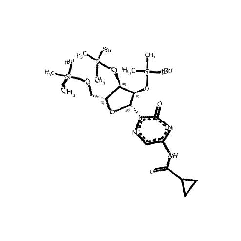 CC(C)(C)[Si](C)(C)OC[C@H]1O[C@@H](n2ncc(NC(=O)C3CC3)nc2=O)[C@H](O[Si](C)(C)C(C)(C)C)[C@@H]1O[Si](C)(C)C(C)(C)C